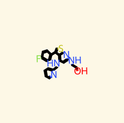 OCCNc1cc(NCc2ccccn2)c2c(-c3ccc(F)cc3)csc2n1